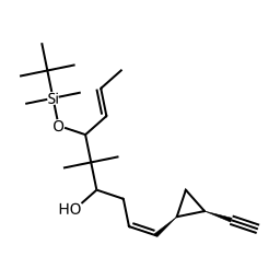 C#C[C@@H]1C[C@@H]1/C=C\CC(O)C(C)(C)C(/C=C/C)O[Si](C)(C)C(C)(C)C